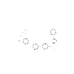 CCC(c1ccc(-c2ccc(Oc3ccc(N(C)S(=O)(=O)C(F)(F)F)c(C(=O)O)c3)cc2)cc1)c1nc(-c2ccc(Cl)cc2Cl)c[nH]1